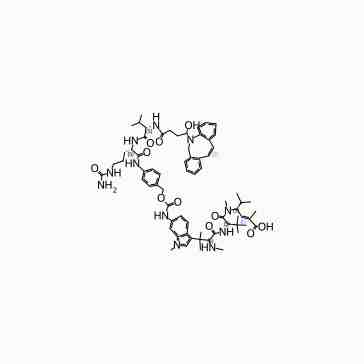 CN[C@H](C(=O)N[C@H](C(=O)N(C)[C@H](/C=C(\C)C(=O)O)C(C)C)C(C)(C)C)C(C)(C)c1cn(C)c2cc(NC(=O)OCc3ccc(NC(=O)[C@H](CCCNC(N)=O)NC(=O)[C@@H](NC(=O)CCC(O)N4Cc5ccccc5/C=C\c5ccccc54)C(C)C)cc3)ccc12